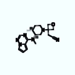 C[C@@H]1CCN(C2(CC#N)COC2)C[C@@H]1N(C)c1ncnn2cccc12